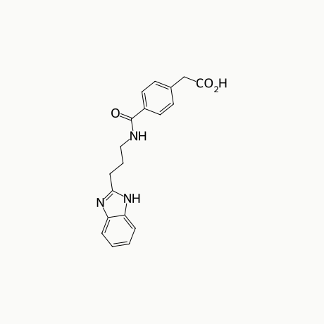 O=C(O)Cc1ccc(C(=O)NCCCc2nc3ccccc3[nH]2)cc1